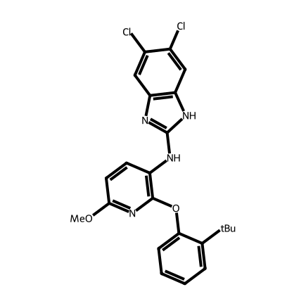 COc1ccc(Nc2nc3cc(Cl)c(Cl)cc3[nH]2)c(Oc2ccccc2C(C)(C)C)n1